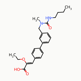 CCCCNC(=O)N(C)Cc1cccc(-c2ccc(C=C(OCC)C(=O)O)cc2)c1